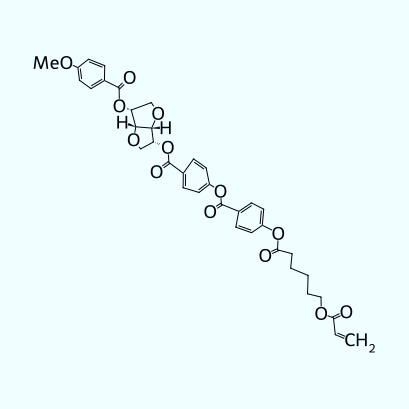 C=CC(=O)OCCCCCC(=O)Oc1ccc(C(=O)Oc2ccc(C(=O)O[C@@H]3CO[C@H]4[C@@H]3OC[C@H]4OC(=O)c3ccc(OC)cc3)cc2)cc1